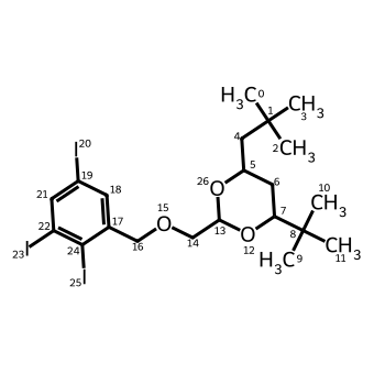 CC(C)(C)CC1CC(C(C)(C)C)OC(COCc2cc(I)cc(I)c2I)O1